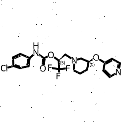 O=C(Nc1ccc(Cl)cc1)O[C@@H](CN1CCC[C@H](Oc2ccncc2)C1)C(F)(F)F